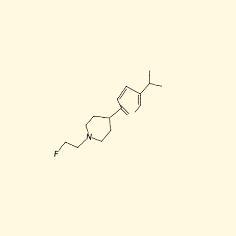 C=C(/C=C\C(=C/C)C(C)C)C1CCN(CCF)CC1